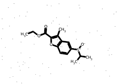 CCOC(=O)c1oc2ccc([S+]([O-])C(C)C)cc2c1C